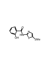 CSc1cnc(NC(=O)c2ccccc2O)s1